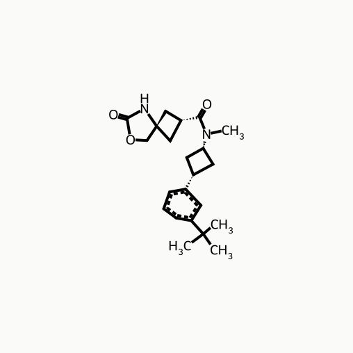 CN(C(=O)[C@H]1C[C@]2(COC(=O)N2)C1)[C@H]1C[C@@H](c2cccc(C(C)(C)C)c2)C1